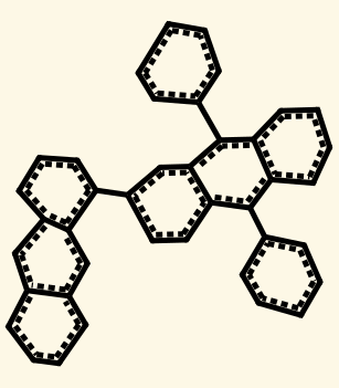 c1ccc(-c2c3ccccc3c(-c3ccccc3)c3cc(-c4cccc5cc6ccccc6cc45)ccc23)cc1